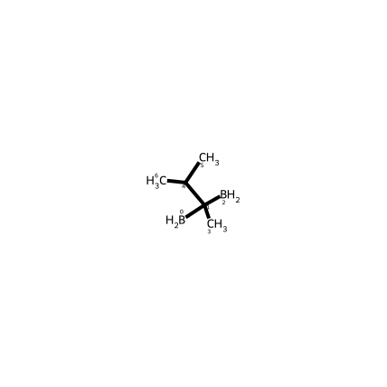 BC(B)(C)C(C)C